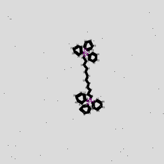 c1ccc([PH](CCCCCCCCCCCC[PH](c2ccccc2)(c2ccccc2)c2ccccc2)(c2ccccc2)c2ccccc2)cc1